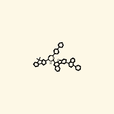 CC1(C)c2ccccc2-c2ccc(C3C=CC(c4ccc(-c5ccccc5)cc4)N=C(c4cc5ccccc5c5c4oc4ccc(-c6ccc(-c7ccccc7)c7ccccc67)cc45)N3)cc21